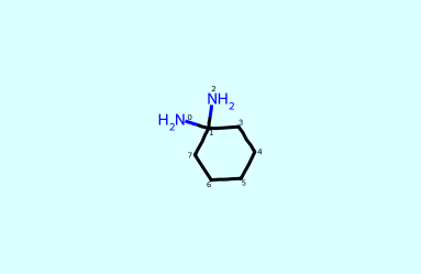 NC1(N)CCCCC1